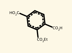 CCOC(=O)c1cc(C(=O)O)ccc1C(=O)O